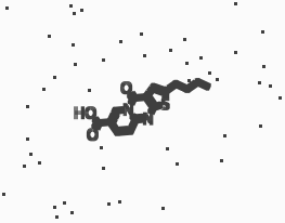 CCCCc1cc2c(=O)n3cc(C(=O)O)ccc3nc2s1